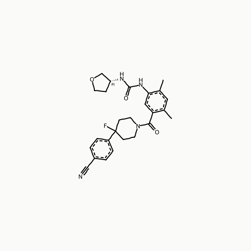 Cc1cc(C)c(C(=O)N2CCC(F)(c3ccc(C#N)cc3)CC2)cc1NC(=O)N[C@@H]1CCOC1